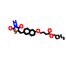 CCOC(=O)CCCOc1ccc2cc(/C=C3/SC(=O)NC3=O)ccc2c1